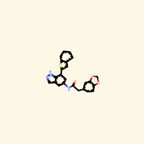 O=C(Cc1ccc2c(c1)OCO2)Nc1cc(-c2cc3ccccc3s2)c2[nH]ncc2c1